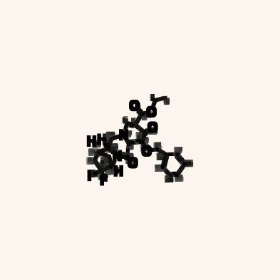 CCOC(=O)c1cn2c(c(OCc3ccccc3)c1=O)C(=O)N1[C@@H](C2)[C@H]2C[C@@H]1C(F)(F)C2